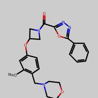 COc1cc(OC2CN(C(=O)c3nnc(-c4ccccc4)o3)C2)ccc1CN1CCOCC1